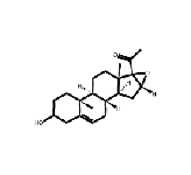 CC(=O)[C@@]12O[C@@H]1C[C@H]1[C@@H]3CC=C4CC(O)CC[C@]4(C)[C@H]3CC[C@@]12C